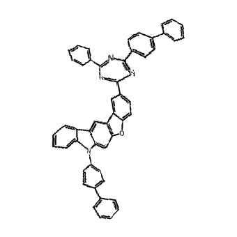 c1ccc(-c2ccc(-c3nc(-c4ccccc4)nc(-c4ccc5oc6cc7c(cc6c5c4)c4ccccc4n7-c4ccc(-c5ccccc5)cc4)n3)cc2)cc1